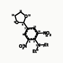 CCN(CC)c1c([N+](=O)[O-])cc(C2OCCO2)cc1[N+](=O)[O-]